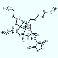 O=C(O)CCCC[C@]1(C(=O)NCCCCCCO)SC[C@@H]2NC(=O)N[C@@H]21.O=C(O)O.O=C1CCC(=O)N1O